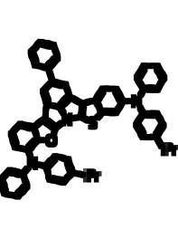 CC(C)c1ccc(N(c2ccccc2)c2ccc3c(c2)sc2c3c3cc(-c4ccccc4)cc4c5c6cccc(N(c7ccccc7)c7ccc(C(C)C)cc7)c6oc5n2c43)cc1